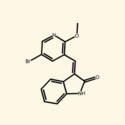 COc1ncc(Br)cc1C=C1C(=O)Nc2ccccc21